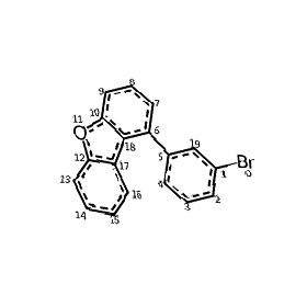 Brc1cccc(-c2cccc3oc4ccccc4c23)c1